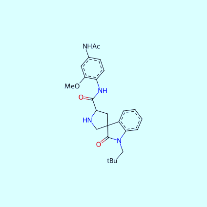 COc1cc(NC(C)=O)ccc1NC(=O)C1CC2(CN1)C(=O)N(CC(C)(C)C)c1ccccc12